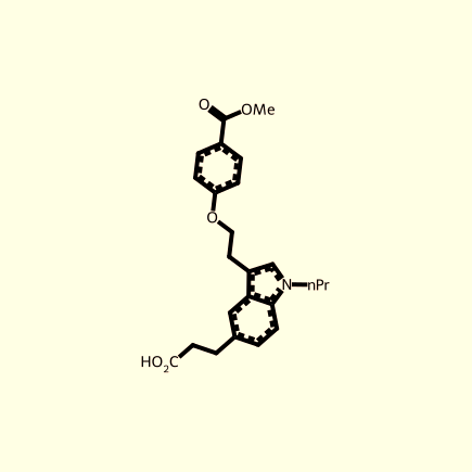 CCCn1cc(CCOc2ccc(C(=O)OC)cc2)c2cc(CCC(=O)O)ccc21